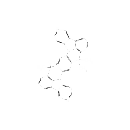 CC1(C)c2cc3c(cc2-n2c4ccncc4c4cccc1c42)C(C)(C)c1cccc2c4cnccc4n-3c12